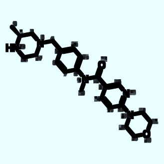 C[C@H]1CN(Cc2ccc(N(C)C(=O)c3ccc(N4CCOCC4)nc3)cc2)CCN1